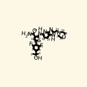 CC(C)(O)c1cc(F)c(-c2cc(C(N)=O)c(Nc3ccc4[nH]c(CN5CCOCC5)nc4n3)s2)c(F)c1